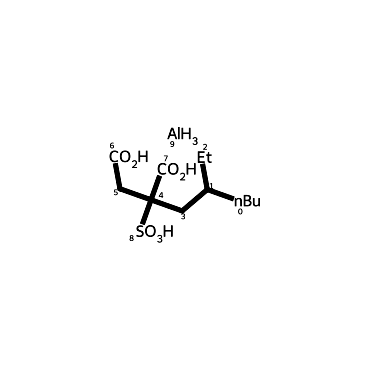 CCCCC(CC)CC(CC(=O)O)(C(=O)O)S(=O)(=O)O.[AlH3]